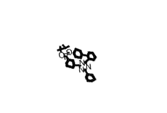 CC1(C)OB(c2cccc(-c3nc(-c4ccccc4)nc(-c4ccccc4-c4ccccc4)n3)c2)OC1(C)C